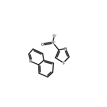 O=[N+]([O-])c1cscn1.c1ccc2ncccc2c1